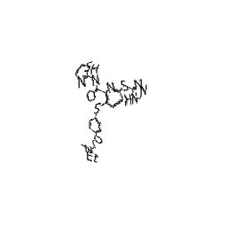 CCN(C)CCOc1ccc(Sc2ccc(Sc3nnc[nH]3)nc2C(=O)Nc2nccs2)cc1